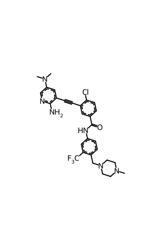 CN1CCN(Cc2ccc(NC(=O)c3ccc(Cl)c(C#Cc4cc(N(C)C)cnc4N)c3)cc2C(F)(F)F)CC1